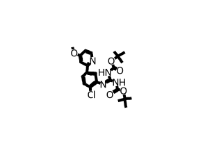 COc1ccnc(-c2ccc(Cl)c(N=C(NC(=O)OC(C)(C)C)NC(=O)OC(C)(C)C)c2)c1